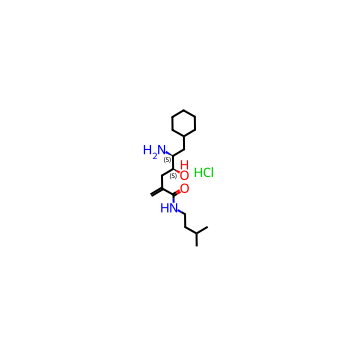 C=C(C[C@H](O)[C@@H](N)CC1CCCCC1)C(=O)NCCC(C)C.Cl